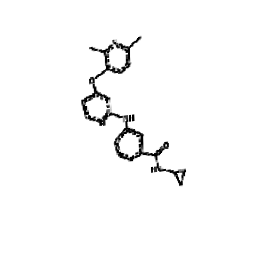 Cc1ccc(Oc2ccnc(Nc3cccc(C(=O)NC4CC4)c3)c2)c(C)n1